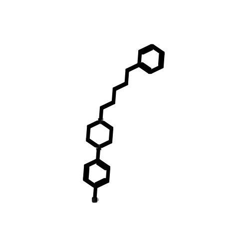 [O]c1ccc(N2CCN(CCCCCc3ccccc3)CC2)cc1